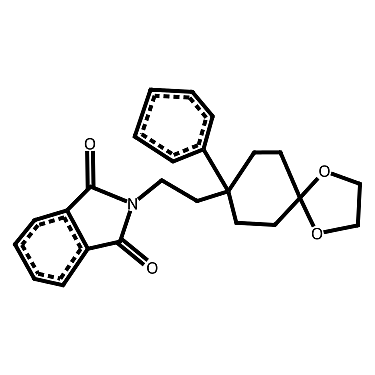 O=C1c2ccccc2C(=O)N1CCC1(c2ccccc2)CCC2(CC1)OCCO2